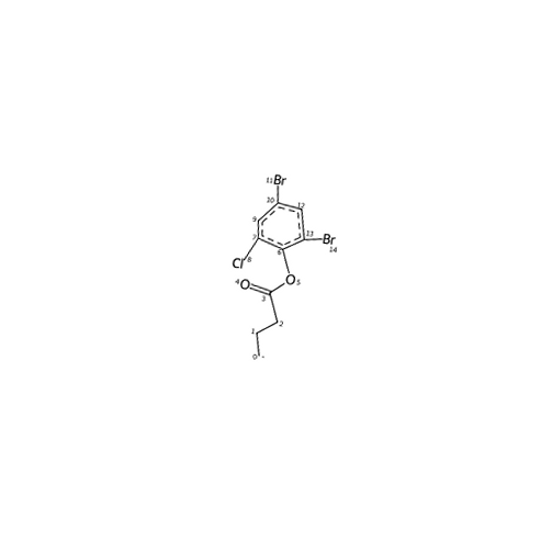 [CH2]CCC(=O)Oc1c(Cl)cc(Br)cc1Br